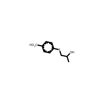 CC(O)CSc1ccc(C(=O)O)cc1